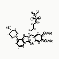 CCN1CCN(c2cccc3c2CN([C@H](CCCNS(=O)(=O)N(C)C)c2ccc(OC)c(OC)c2)C3=O)CC1